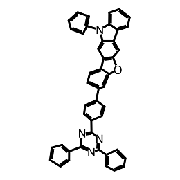 c1ccc(-c2nc(-c3ccccc3)nc(-c3ccc(-c4ccc5c(c4)oc4cc6c7ccccc7n(-c7ccccc7)c6cc45)cc3)n2)cc1